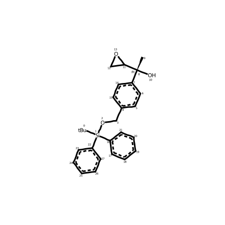 CC(C)(C)[Si](OCc1ccc([C@@](C)(O)C2CO2)cc1)(c1ccccc1)c1ccccc1